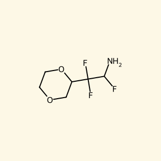 NC(F)C(F)(F)C1COCCO1